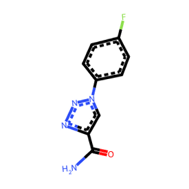 NC(=O)c1cn(-c2ccc(F)cc2)nn1